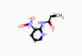 C=CC(=O)Nc1ncccc1[N+](=O)[O-]